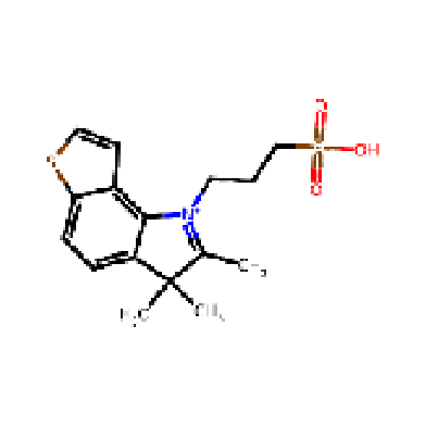 CC1=[N+](CCCS(=O)(=O)O)c2c(ccc3sccc23)C1(C)C